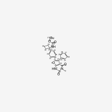 Cn1c(=O)[nH]c2oc(-c3ccc(C4(NC(=O)OC(C)(C)C)CCC4)cc3)c(-c3ccccc3)c2c1=O